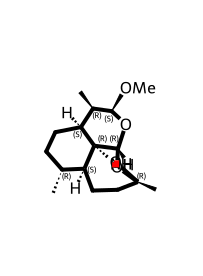 CO[C@H]1O[C@@H]2O[C@@]3(C)CC[C@H]4[C@H](C)CC[C@@H]([C@H]1C)[C@@]24NO3